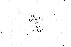 [CH3][Sn]([CH3])([CH3])[c]1cc2sccc2s1